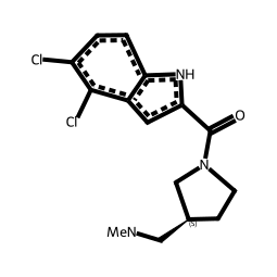 CNC[C@@H]1CCN(C(=O)c2cc3c(Cl)c(Cl)ccc3[nH]2)C1